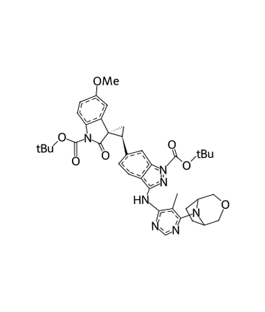 COc1ccc2c(c1)[C@]1(C[C@H]1c1ccc3c(Nc4ncnc(N5C6CCC5COC6)c4C)nn(C(=O)OC(C)(C)C)c3c1)C(=O)N2C(=O)OC(C)(C)C